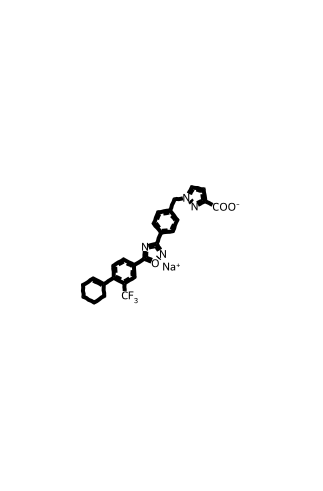 O=C([O-])c1ccn(Cc2ccc(-c3noc(-c4ccc(C5=CCCCC5)c(C(F)(F)F)c4)n3)cc2)n1.[Na+]